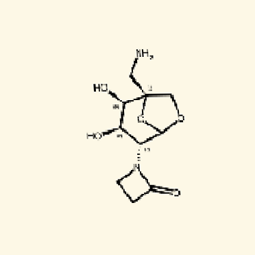 NC[C@@]12COC(O1)[C@H](N1CCC1=O)[C@@H](O)[C@H]2O